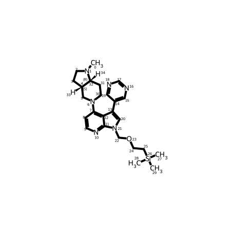 CN1CC[C@H]2CN(c3ccnc4c3c(-c3cncnc3)cn4COCC[Si](C)(C)C)CC[C@H]21